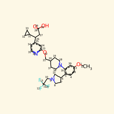 COc1ccc(C2CCN(CC(F)(F)F)C2)c(N2CCC(COc3cc(C(CC(=O)O)C4CC4)ccn3)CC2)c1